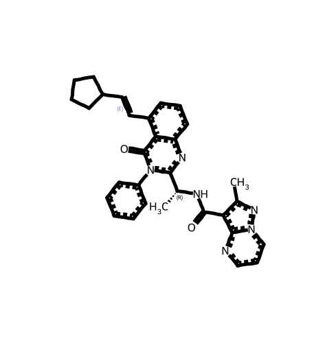 Cc1nn2cccnc2c1C(=O)N[C@H](C)c1nc2cccc(/C=C/C3CCCC3)c2c(=O)n1-c1ccccc1